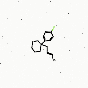 CC(C)/C=C/CC1(c2ccc(F)cc2)CCCCC1